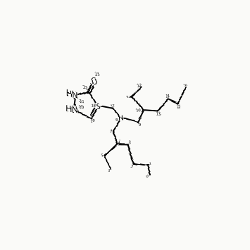 CCCCC(CC)CN(CC(CC)CCCC)CS1=CNNC1=O